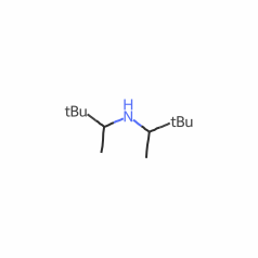 CC(NC(C)C(C)(C)C)C(C)(C)C